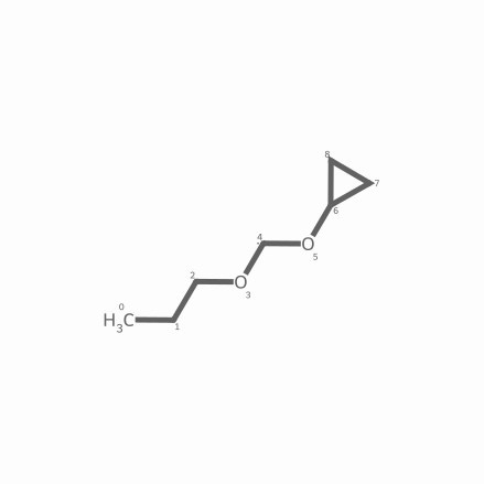 CCCO[CH]OC1CC1